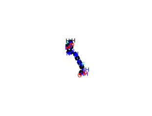 N#Cc1cnn2cc(-c3cnn(C4CCC(N5CCN(c6ccc(N[C@H]7CCC(=O)NC7=O)cc6F)CC5)CC4)c3)nc(-c3ccc(N4C[C@@H]5C[C@@H](C4)N5C(=O)c4c(F)cccc4F)nc3)c12